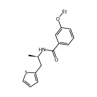 CCOc1cccc(C(=O)N[C@H](C)Cc2cccs2)c1